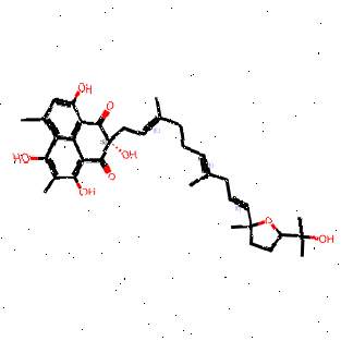 C/C(=C\CC/C(C)=C/C[C@]1(O)C(=O)c2c(O)cc(C)c3c(O)c(C)c(O)c(c23)C1=O)C/C=C/C1(C)CCC(C(C)(C)O)O1